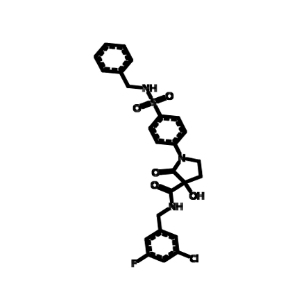 O=C(NCc1cc(F)cc(Cl)c1)C1(O)CCN(c2ccc(S(=O)(=O)NCc3ccccc3)cc2)C1=O